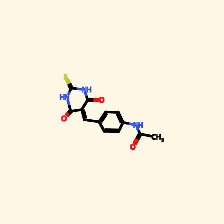 CC(=O)Nc1ccc(C=C2C(=O)NC(=S)NC2=O)cc1